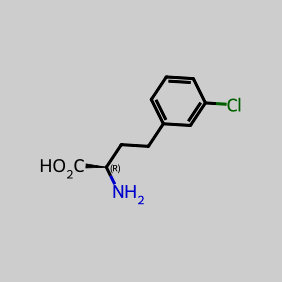 N[C@H](CCc1cccc(Cl)c1)C(=O)O